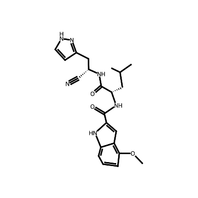 COc1cccc2[nH]c(C(=O)N[C@@H](CC(C)C)C(=O)N[C@H](C#N)Cc3cc[nH]n3)cc12